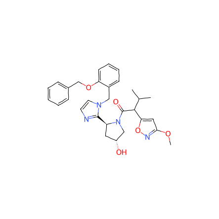 COc1cc(C(C(=O)N2C[C@H](O)C[C@H]2c2nccn2Cc2ccccc2OCc2ccccc2)C(C)C)on1